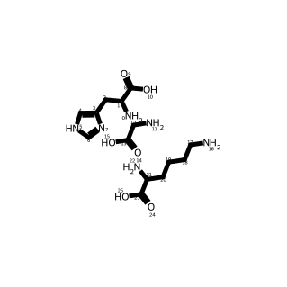 NC(Cc1c[nH]cn1)C(=O)O.NCC(=O)O.NCCCCC(N)C(=O)O